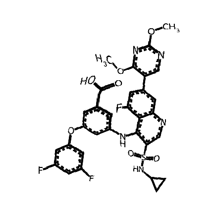 COc1ncc(-c2cc(F)c3c(Nc4cc(Oc5cc(F)cc(F)c5)cc(C(=O)O)c4)c(S(=O)(=O)NC4CC4)cnc3c2)c(OC)n1